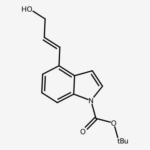 CC(C)(C)OC(=O)n1ccc2c(/C=C/CO)cccc21